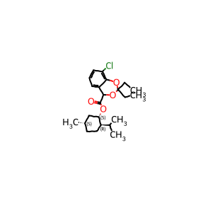 CCC1(CC)Oc2c(Cl)cccc2C(C(=O)O[C@H]2C[C@@H](C)CC[C@@H]2C(C)C)O1